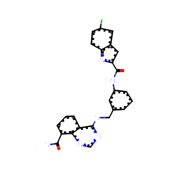 NC(=O)c1cccc2c(NCc3cccc(NC(=O)c4cc5cc(Cl)ccc5[nH]4)c3)ncnc12